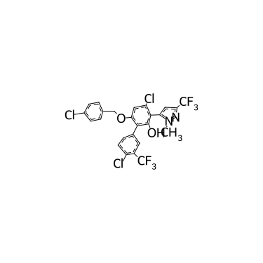 Cn1nc(C(F)(F)F)cc1-c1c(Cl)cc(OCc2ccc(Cl)cc2)c(-c2ccc(Cl)c(C(F)(F)F)c2)c1O